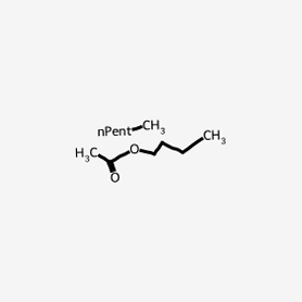 CCCCCC.CCCCOC(C)=O